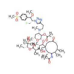 CC[C@@H](OC(=O)[C@H](C)[C@@H](O)[C@H](C)[C@@H](O[C@@H]1O[C@H](C)C[C@H](N(C)CCc2cn([C@H](CF)[C@H](OC)c3ccc(S(C)(=O)=O)cc3)nn2)[C@H]1OC(C)=O)[C@]1(C)CCC(=O)CC[C@@H](C)[C@@H](C)/C(=N/C(C)=O)[C@H](C)C1)C(C)(C)O